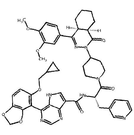 COc1ccc(C2=NN(C3CCN(C(=O)[C@H](Cc4cccnc4)NC(=O)c4c[nH]c5c(-c6c(OCC7CC7)ccc7c6OCO7)ncnc45)CC3)C(=O)[C@@H]3CCCC[C@H]23)cc1OC